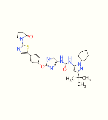 CC(C)(C)c1cc(NC(=O)Nc2cnc(Oc3ccc(-c4cnc(N5CCCC5=O)s4)cc3)nc2)n(C2CCCCC2)n1